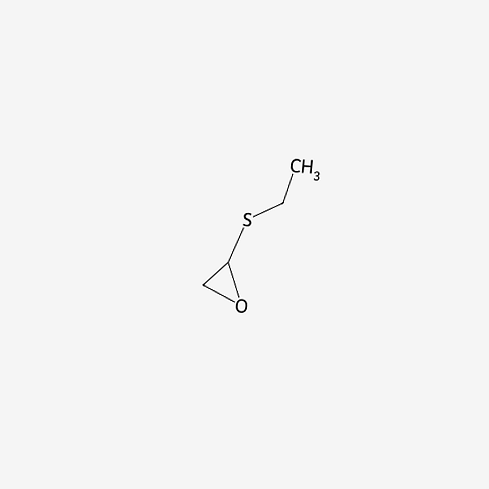 CCSC1CO1